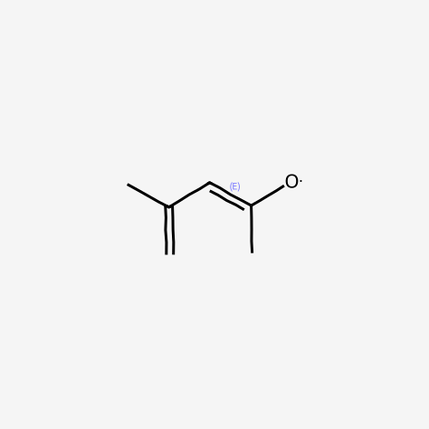 C=C(C)/C=C(\C)[O]